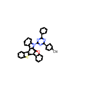 N#Cc1ccc(-c2nc(-c3ccccc3)nc(-n3c4ccccc4c4c5c6ccccc6sc5c5c6ccccc6oc5c43)n2)cc1